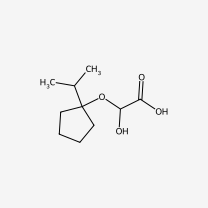 CC(C)C1(OC(O)C(=O)O)CCCC1